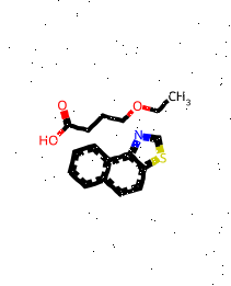 CCOCCCC(=O)O.c1ccc2c(c1)ccc1scnc12